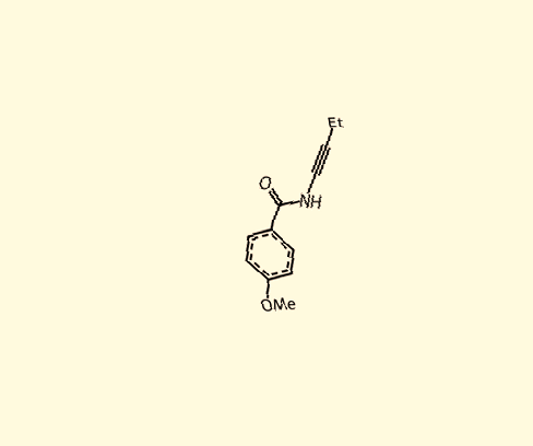 CCC#CNC(=O)c1ccc(OC)cc1